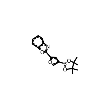 CC1(C)OB(c2coc(-c3nc4ccccc4o3)c2)OC1(C)C